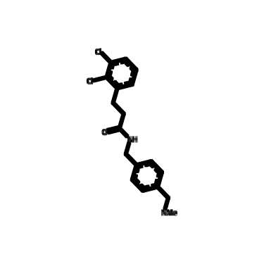 CNCc1ccc(CNC(=O)CCc2cccc(Cl)c2Cl)cc1